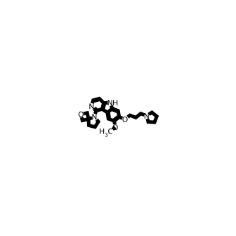 COc1cc2c(cc1OCCCN1CCCC1)[nH]c1ccnc(N3CCCC34COC4)c12